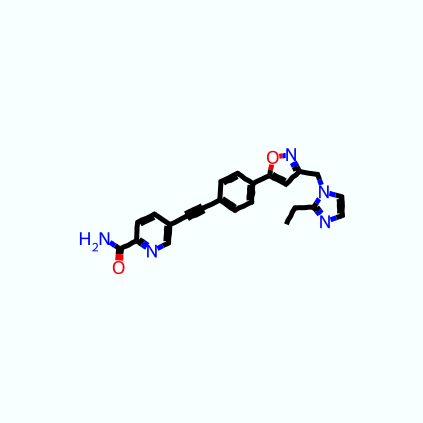 CCc1nccn1Cc1cc(-c2ccc(C#Cc3ccc(C(N)=O)nc3)cc2)on1